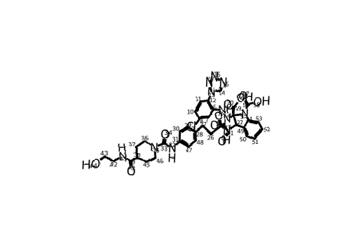 O=CC(=O)N(Nc1cc(Cl)ccc1-n1cnnn1)C1(C(=O)O)C(NC(=O)CCc2ccc(NC(=O)N3CCC(C(=O)NCCO)CC3)cc2)c2ccccc2N1C(=O)O